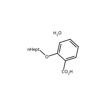 CCCCCCCOc1ccccc1C(=O)O.O